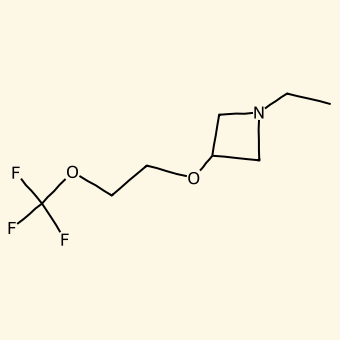 CCN1CC(OCCOC(F)(F)F)C1